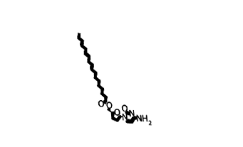 CCC=CCC=CCC=CCCCCCCCC(=O)OC[C@@H]1CC[C@@H](n2ccc(N)nc2=O)O1